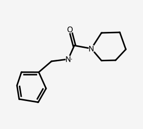 O=C([N]Cc1ccccc1)N1CCCCC1